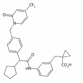 O=C(Nc1cccc(CC2(C(=O)O)CC2)c1)C(c1ccc(Cn2ccc(C(F)(F)F)cc2=O)cc1)C1CCCC1